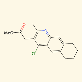 COC(=O)Cc1c(C)nc2cc3c(cc2c1Cl)CCCC3